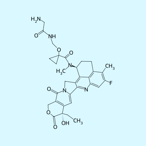 CC[C@@]1(O)C(=O)OCc2c1cc1n(c2=O)Cc2c-1nc1cc(F)c(C)c3c1c2[C@@H](N(C)C(=O)C1(OCNC(=O)CN)CC1)CC3